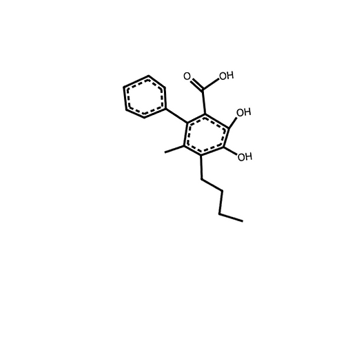 CCCCc1c(C)c(-c2ccccc2)c(C(=O)O)c(O)c1O